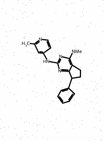 CNc1nc(Nc2ccnc(C)c2)nc2c1CCC2c1ccccc1